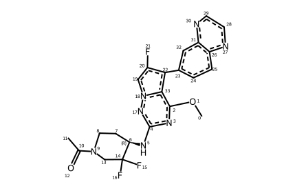 COc1nc(N[C@@H]2CCN(C(C)=O)CC2(F)F)nn2cc(F)c(-c3ccc4nccnc4c3)c12